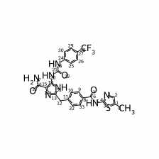 Cc1cnc(NC(=O)c2ccc(Cc3nc(C(N)=O)c(NC(=O)Nc4ccc(C(F)(F)F)cc4)[nH]3)cc2)s1